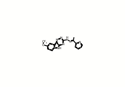 C/C(=N\Nc1nnc2c(n1)[nH]c1ccc(OC(F)(F)F)cc12)c1ccccn1